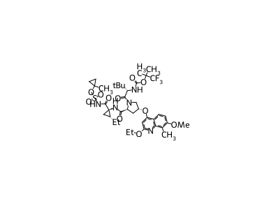 CCOc1cc(O[C@@H]2C[C@@H](C(=O)N[C@]3(C(=O)NS(=O)(=O)OC4(C)CC4)C[C@H]3CC)N(C(=O)[C@@H](NC(=O)OC(C)(C)C(F)(F)F)C(C)(C)C)C2)c2ccc(OC)c(C)c2n1